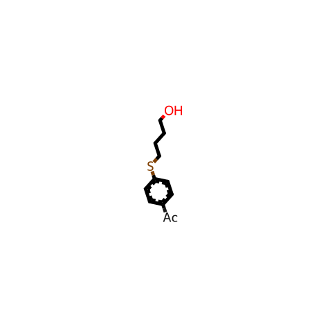 CC(=O)c1ccc(SCCCCO)cc1